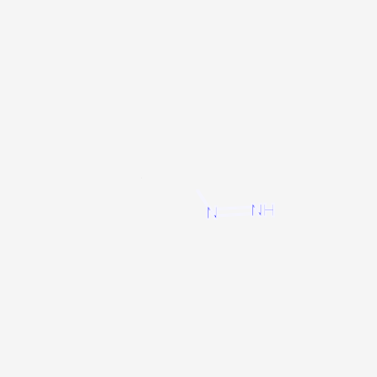 N=NCC1CC1